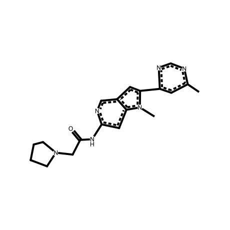 Cc1cc(-c2cc3cnc(NC(=O)CN4CCCC4)cc3n2C)ncn1